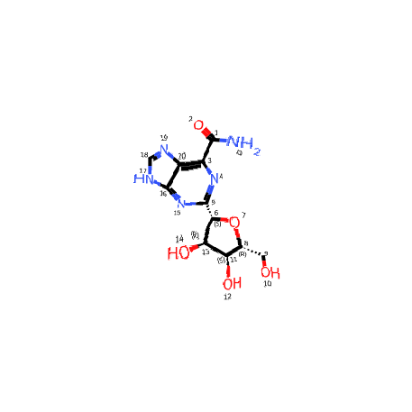 NC(=O)c1nc([C@@H]2O[C@H](CO)[C@@H](O)[C@H]2O)nc2[nH]cnc12